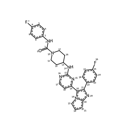 O=C(Nc1ccc(F)cc1)N1CCC(Nc2nccc(-c3c(-c4ccc(F)cc4)nc4sccn34)n2)CC1